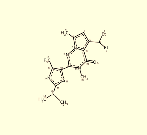 CCC(CC)c1cc(C)n2nc(-c3sc(N(C)C)nc3C(F)(F)F)n(C)c(=O)c12